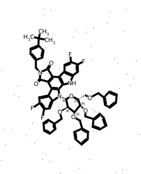 CC(C)(C)c1ccc(CN2C(=O)c3c(c4c5cc(F)c(F)cc5n([C@@H]5O[C@H](COCc6ccccc6)[C@@H](OCc6ccccc6)[C@H](OCc6ccccc6)[C@H]5OCc5ccccc5)c4c4[nH]c5cc(F)c(F)cc5c34)C2=O)cc1